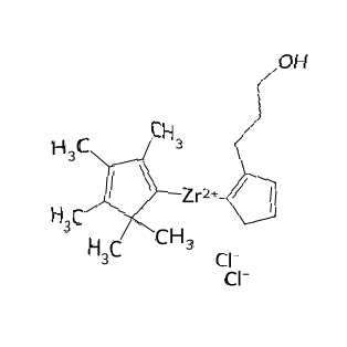 CC1=C(C)C(C)(C)[C]([Zr+2][C]2=C(CCCO)C=CC2)=C1C.[Cl-].[Cl-]